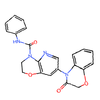 O=C(Nc1ccccc1)N1CCOc2cc(N3C(=O)COc4ccccc43)cnc21